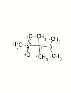 CC(C)C(C)(C)S(C)(=O)=O